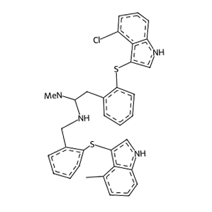 CNC(Cc1ccccc1Sc1c[nH]c2cccc(Cl)c12)NCc1ccccc1Sc1c[nH]c2cccc(C)c12